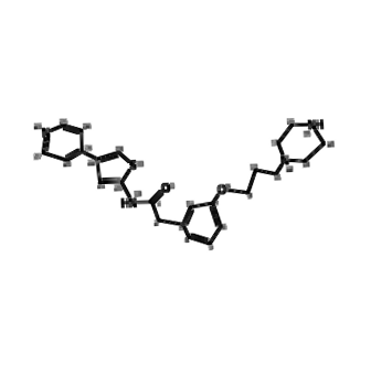 O=C(Cc1cccc(OCCCN2CCNCC2)c1)Nc1cc(-c2ccncc2)cs1